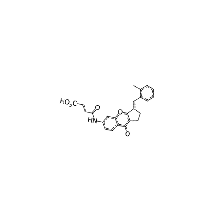 Cc1ccccc1C=C1CCc2c1oc1cc(NC(=O)/C=C/C(=O)O)ccc1c2=O